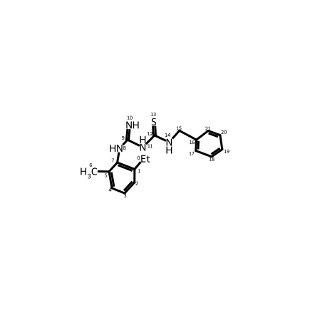 CCc1cccc(C)c1NC(=N)NC(=S)NCc1ccccc1